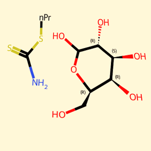 CCCSC(N)=S.OC[C@H]1OC(O)[C@H](O)[C@@H](O)[C@H]1O